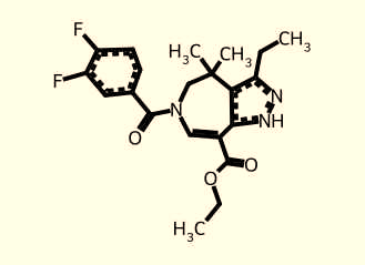 CCOC(=O)C1=CN(C(=O)c2ccc(F)c(F)c2)CC(C)(C)c2c(CC)n[nH]c21